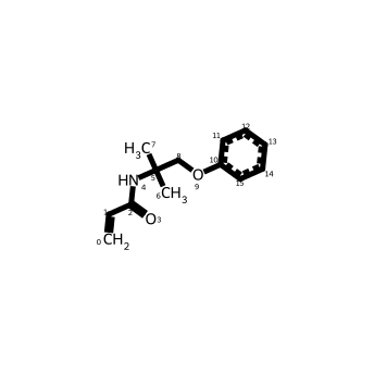 C=CC(=O)NC(C)(C)COc1ccccc1